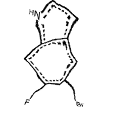 Fc1cc2[nH]ccc2cc1Br